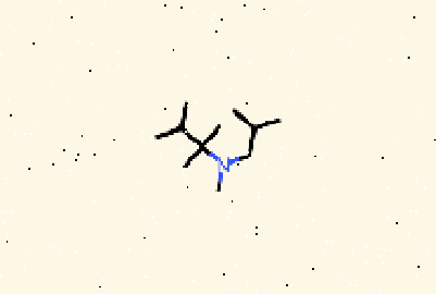 CC(C)CN(C)C(C)(C)C(C)C